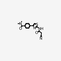 CN(C)C(=O)c1ccc(-c2csc(NC(=O)CC#N)n2)cc1